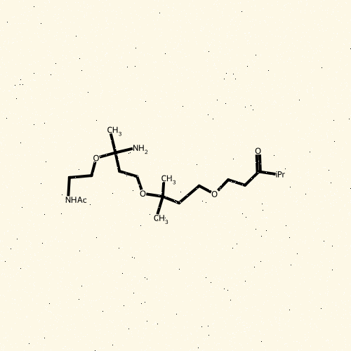 CC(=O)NCCOC(C)(N)CCOC(C)(C)CCOCCC(=O)C(C)C